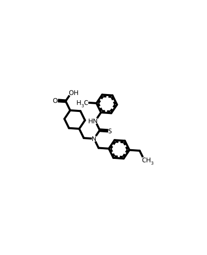 CCc1ccc(CN(CC2CCC(C(=O)O)CC2)C(=S)Nc2ccccc2C)cc1